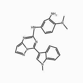 CN(C)c1ccc(Nc2nc(-c3cn(C)c4ccccc34)n3nccc3n2)cc1N